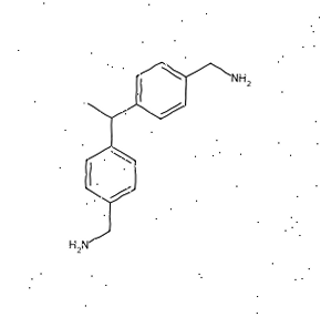 [CH2]C(c1ccc(CN)cc1)c1ccc(CN)cc1